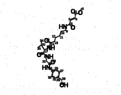 COC(=O)/C=C/C(=O)NCCCCCC(=O)NC(C(=O)NCC(=O)Nc1ccc(CO)cc1)C(C)C